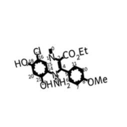 C=N/C(C(=O)OCC)=C(/c1ccc(OC)cc1)N(N)c1cc(Cl)c(O)cc1O